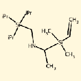 C=C[Si](C)(C)C(C)NC[Si](C(C)C)(C(C)C)C(C)C